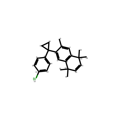 Cc1cc2c(cc1C1(c3ccc(Br)cc3)CC1)C(C)(C)C=CC2(C)C